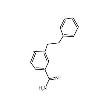 N=C(N)c1cc[c]c(CCc2ccccc2)c1